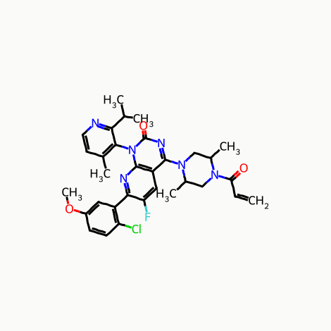 C=CC(=O)N1CC(C)N(c2nc(=O)n(-c3c(C)ccnc3C(C)C)c3nc(-c4cc(OC)ccc4Cl)c(F)cc23)CC1C